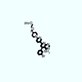 COCCON=C1CCN(c2ccc(-c3cc(-c4cccc(Br)c4)c4c(N)ncnc4n3)cn2)CC1